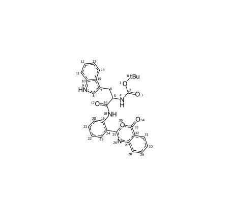 CC(C)(C)OC(=O)NC(Cc1c[nH]c2ccccc12)C(=O)Nc1ccccc1-c1nc2ccccc2c(=O)o1